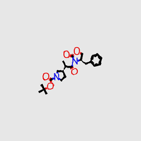 CC(C(=O)N1C(=O)OC[C@H]1Cc1ccccc1)[C@H]1CCN(C(=O)OC(C)(C)C)C1